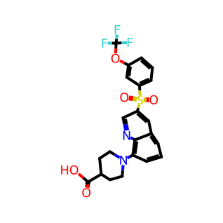 O=C(O)C1CCN(c2cccc3cc(S(=O)(=O)c4cccc(OC(F)(F)F)c4)cnc23)CC1